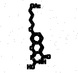 CC(=O)OCCCCOc1ccc2c(c1)OC1=NC(O)NC(=O)C1=C2